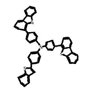 c1ccc2sc(-c3ccc(N(c4ccc(-c5cccc6c5sc5ccccc56)cc4)c4ccc(-c5cccc6c5sc5ccccc56)cc4)cc3)cc2c1